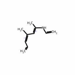 C=C/C=C(C)\C=C(/C)NC=C